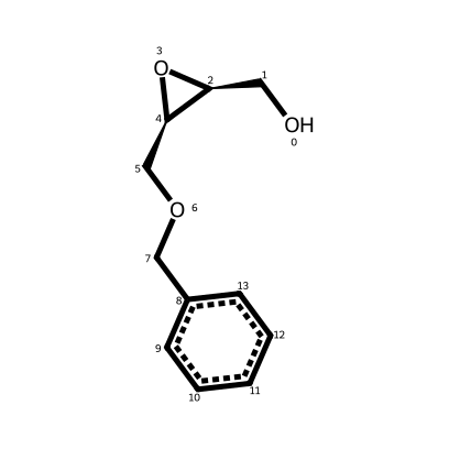 OC[C@@H]1O[C@@H]1COCc1ccccc1